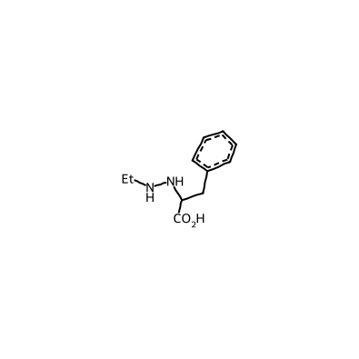 CCNNC(Cc1ccccc1)C(=O)O